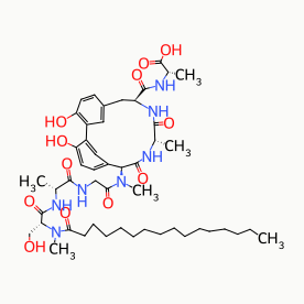 CCCCCCCCCCCCCCCC(=O)N(C)[C@H](CO)C(=O)N[C@H](C)C(=O)NCC(=O)N(C)[C@@H]1C(=O)N[C@@H](C)C(=O)N[C@H](C(=O)N[C@@H](C)C(=O)O)Cc2ccc(O)c(c2)-c2cc1ccc2O